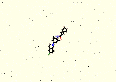 Cc1cc(N2CCc3cc(F)ccc3C2)cc(C)c1NC(=O)C1CC2(CCCC2)C1